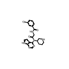 O=C(NCC(=O)N(c1ncnc2[nH]ccc12)C1CCCNC1)c1cccc(Cl)c1